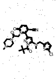 CN1CCN(C(=O)Cn2c(-c3cc(N(C)Cc4ccc(Cl)s4)n(C(=O)C(C)(C)C)n3)c(C#N)ccc2=O)CC1